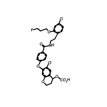 O=C(O)OC1CCOc2cc(Oc3ccc(C(=O)NCCc4ccc(Cl)cc4OCCCF)cc3)c(Cl)cc21